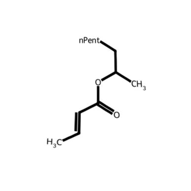 CC=CC(=O)OC(C)CCCCCC